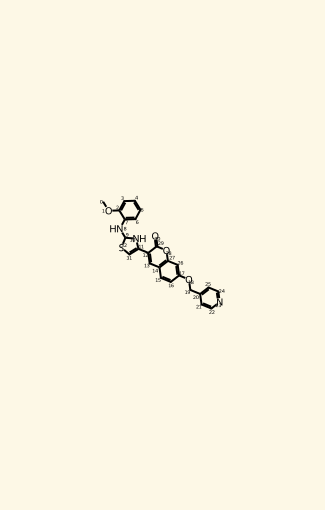 COc1ccccc1NC1NC(c2cc3ccc(OCc4ccncc4)cc3oc2=O)=CS1